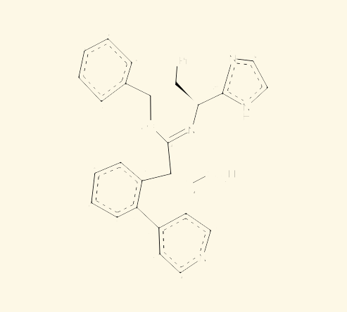 CC(C)C[C@H](N=C(OCc1ccccc1)[C@H](CC(=O)O)c1ccccc1-c1ccncc1)c1ncc[nH]1